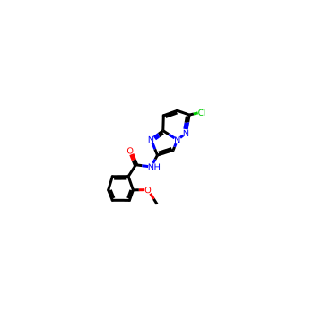 COc1ccccc1C(=O)Nc1cn2nc(Cl)ccc2n1